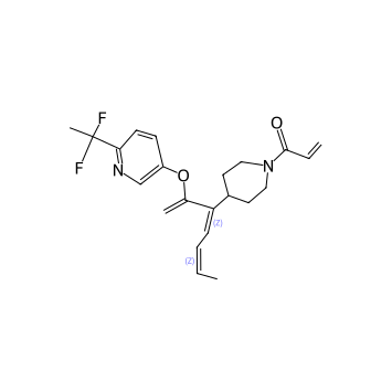 C=CC(=O)N1CCC(/C(=C/C=C\C)C(=C)Oc2ccc(C(C)(F)F)nc2)CC1